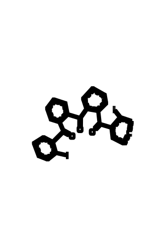 O=C(c1ccccc1I)c1ccccc1C(=O)c1ccccc1C(=O)c1ccccc1I